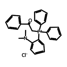 CN(C)c1ccccc1[P+](CC(=O)c1ccccc1)(c1ccccc1)c1ccccc1.[Cl-]